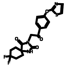 O=C(CN1C(=O)NC2(CCC(F)(F)CC2)C1=O)c1ccc(Oc2nccs2)cc1